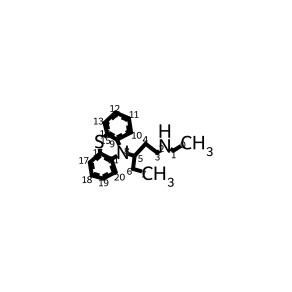 CCNCCC(CC)N1c2ccccc2Sc2ccccc21